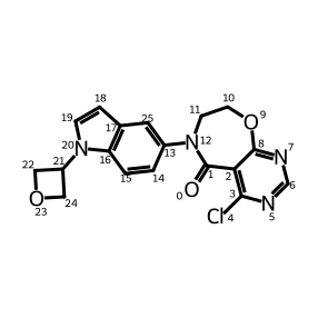 O=C1c2c(Cl)ncnc2OCCN1c1ccc2c(ccn2C2COC2)c1